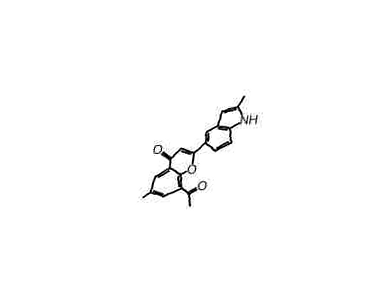 CC(=O)c1cc(C)cc2c(=O)cc(-c3ccc4[nH]c(C)cc4c3)oc12